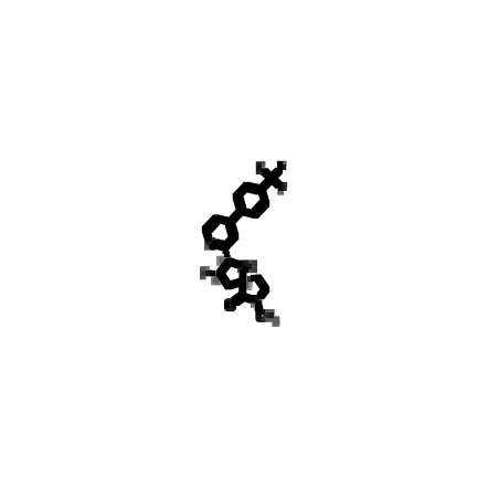 CN1CC[C@@]2(C[C@H](F)[C@H](c3cc(-c4ccc(C(F)(F)F)cc4)ccn3)N2)C1=O